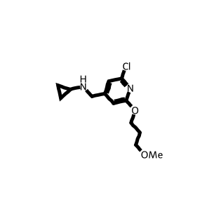 COCCCOc1cc(CNC2CC2)cc(Cl)n1